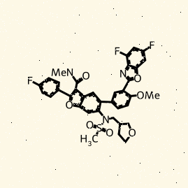 CNC(=O)c1c(-c2ccc(F)cc2)oc2cc(N(CC3CCOC3)S(C)(=O)=O)c(-c3ccc(OC)c(-c4nc5c(F)cc(F)cc5o4)c3)cc12